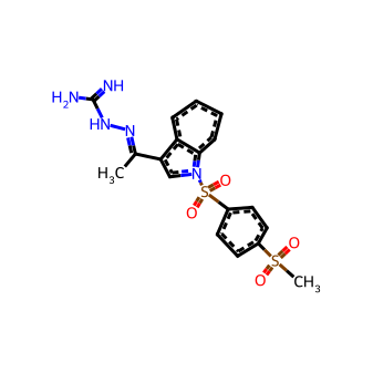 CC(=NNC(=N)N)c1cn(S(=O)(=O)c2ccc(S(C)(=O)=O)cc2)c2ccccc12